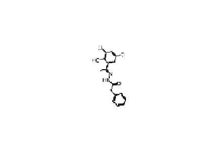 C/C(=N\NC(=O)Cc1ccccc1)c1cc(Cl)cc(Cl)c1O